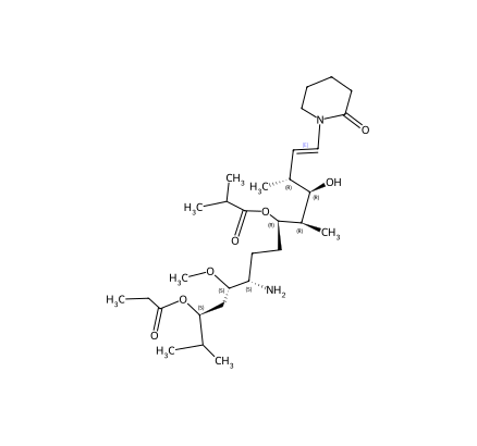 CCC(=O)O[C@@H](C[C@H](OC)[C@@H](N)CC[C@@H](OC(=O)C(C)C)[C@H](C)[C@H](O)[C@H](C)/C=C/N1CCCCC1=O)C(C)C